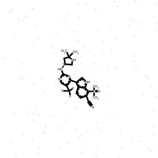 CC1(C)C[C@H](Nc2ncc(C(F)(F)F)c(-c3c[nH]c4c(P(C)(C)=O)c(C#N)ccc34)n2)CN1